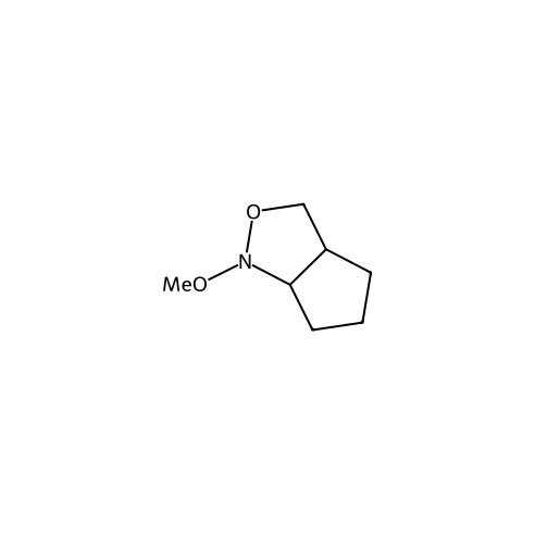 CON1OCC2CCCC21